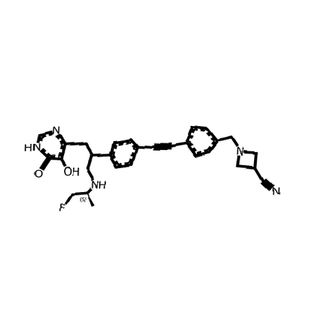 C[C@@H](CF)NCC(Cc1nc[nH]c(=O)c1O)c1ccc(C#Cc2ccc(CN3CC(C#N)C3)cc2)cc1